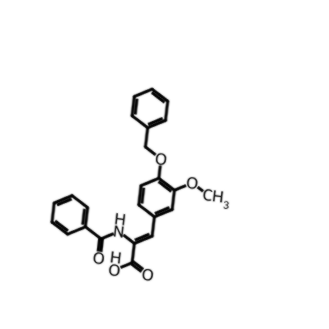 COc1cc(C=C(NC(=O)c2ccccc2)C(=O)O)ccc1OCc1ccccc1